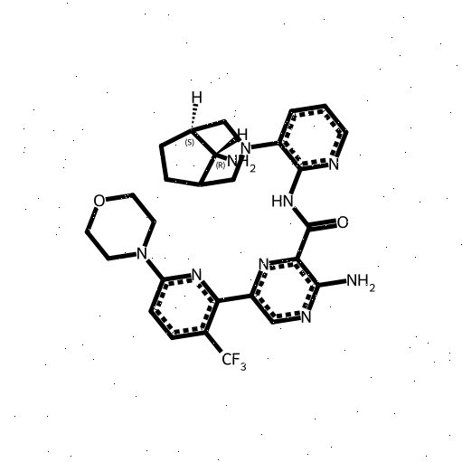 Nc1ncc(-c2nc(N3CCOCC3)ccc2C(F)(F)F)nc1C(=O)Nc1ncccc1N1CC2CC[C@@H](C1)[C@@H]2N